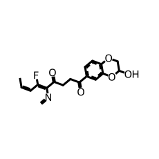 C=N/C(C(=O)CCC(=O)c1ccc2c(c1)OC(O)CO2)=C(F)\C=C/C